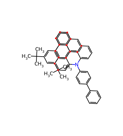 CC(C)(C)c1cc(-c2cccc3cccc(-c4ccccc4N(c4ccc(-c5ccccc5)cc4)c4ccccc4-c4cccc5ccccc45)c23)cc(C(C)(C)C)c1